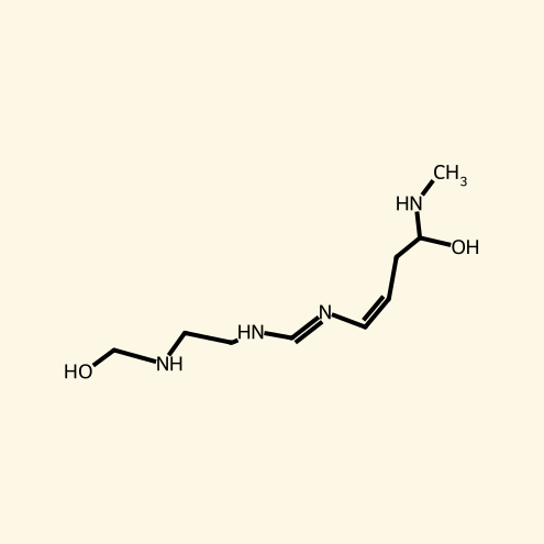 CNC(O)C/C=C\N=C\NCCNCO